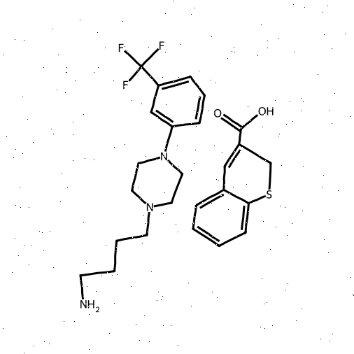 NCCCCN1CCN(c2cccc(C(F)(F)F)c2)CC1.O=C(O)C1=Cc2ccccc2SC1